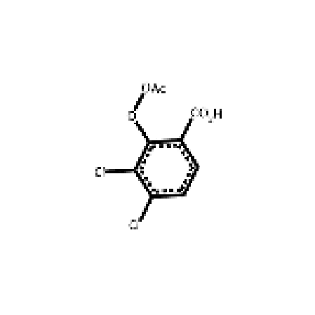 CC(=O)OOc1c(C(=O)O)ccc(Cl)c1Cl